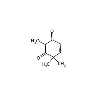 CC1C(=O)C=CC(C)(C)C1=O